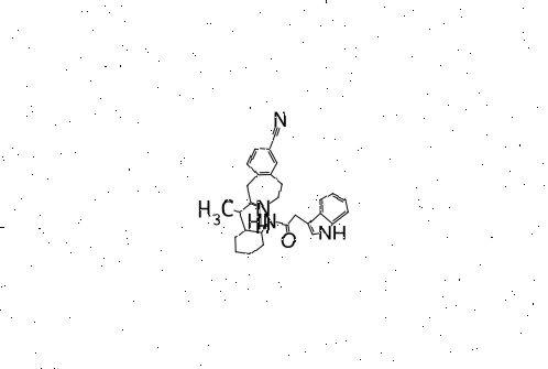 CC(C1Cc2ccc(C#N)cc2CCN1)C1CCCCC1NC(=O)Cc1c[nH]c2ccccc12